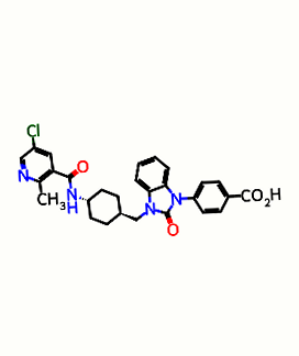 Cc1ncc(Cl)cc1C(=O)N[C@H]1CC[C@H](Cn2c(=O)n(-c3ccc(C(=O)O)cc3)c3ccccc32)CC1